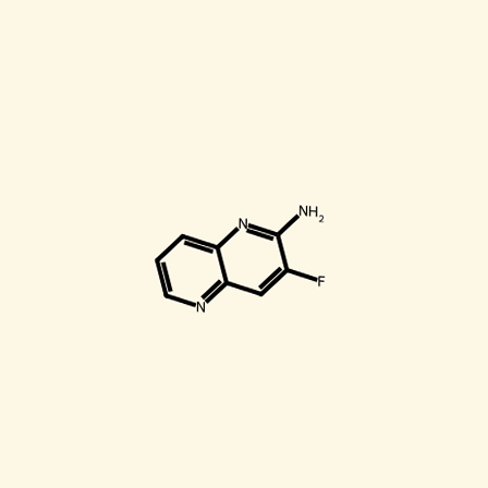 Nc1nc2cccnc2cc1F